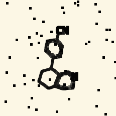 N#Cc1ccc(C2CCCc3ccncc32)cc1